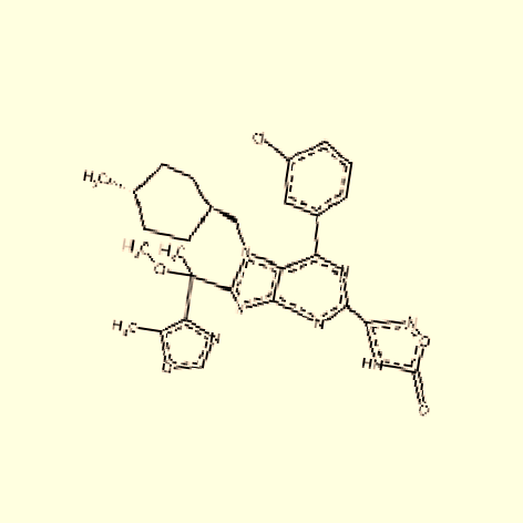 COC(C)(c1ncoc1C)c1nc2nc(-c3noc(=O)[nH]3)nc(-c3cccc(Cl)c3)c2n1C[C@H]1CC[C@H](C)CC1